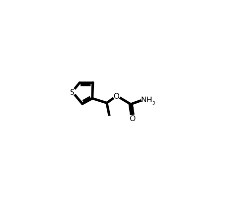 CC(OC(N)=O)c1ccsc1